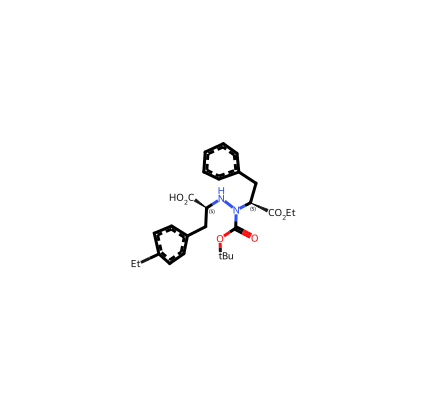 CCOC(=O)[C@H](Cc1ccccc1)N(N[C@@H](Cc1ccc(CC)cc1)C(=O)O)C(=O)OC(C)(C)C